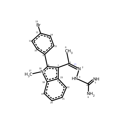 C/C(=N/NC(=N)N)c1c(-c2ccc(Br)cc2)n(C)c2ccccc12